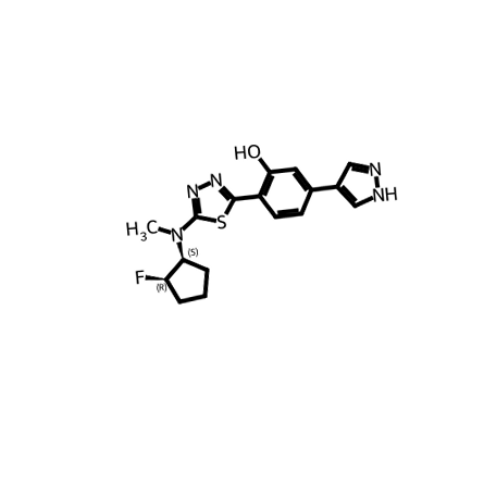 CN(c1nnc(-c2ccc(-c3cn[nH]c3)cc2O)s1)[C@H]1CCC[C@H]1F